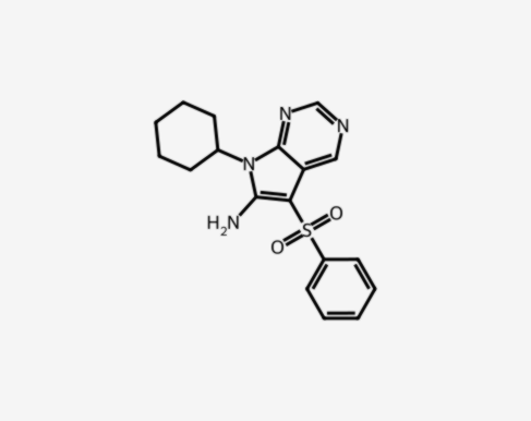 Nc1c(S(=O)(=O)c2ccccc2)c2cncnc2n1C1CCCCC1